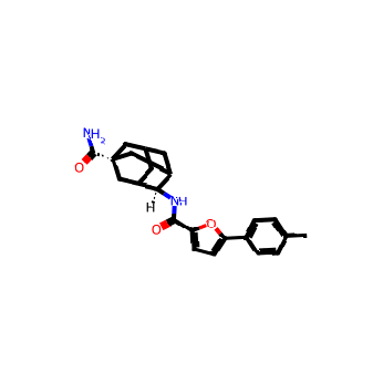 Cc1ccc(-c2ccc(C(=O)N[C@H]3C4CC5CC3C[C@](C(N)=O)(C5)C4)o2)cc1